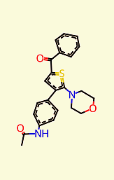 CC(=O)Nc1ccc(-c2cc(C(=O)c3ccccc3)sc2N2CCOCC2)cc1